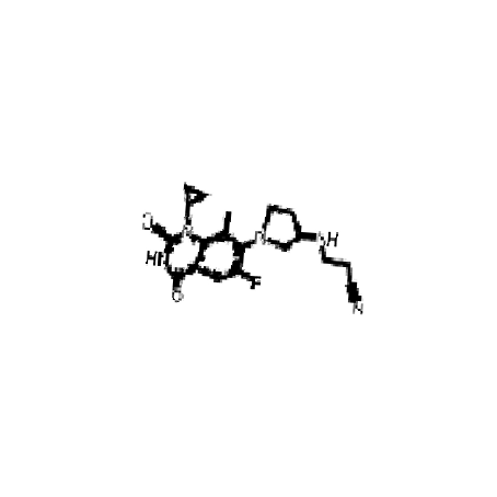 Cc1c(N2CCC(NCCC#N)C2)c(F)cc2c(=O)[nH]c(=O)n(C3CC3)c12